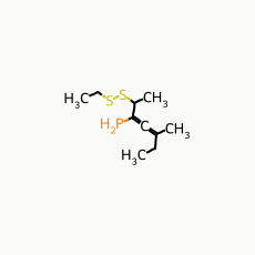 CCSSC(C)C(P)=C=C(C)CC